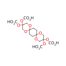 O=C(O)OC1(OC(=O)O)COC2(CCC3(CC2)OCC(OC(=O)O)(OC(=O)O)CO3)OC1